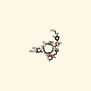 CC[C@H]1OC(=O)[C@H](C)[C@@H](O[C@H]2C[C@@](C)(OC)[C@@H](O)[C@H](C)O2)[C@H](C)[C@@H](O[C@@H]2O[C@H](C)C[C@H](N(C)CCc3cn(C[C@H]4CN(c5ccc(N(C)CCO)c(F)c5)C(=O)O4)nn3)[C@H]2O)[C@](C)(O)C[C@@H](C)CN(C)[C@H](C)[C@@H](O)[C@]1(C)O